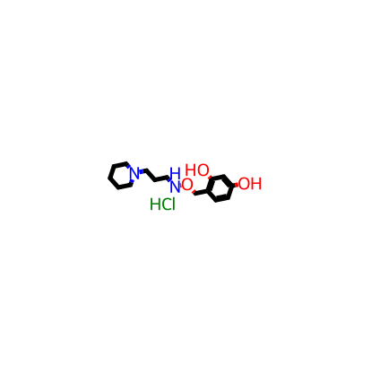 Cl.Oc1ccc(CONCCCN2CCCCC2)c(O)c1